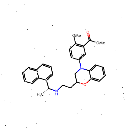 COC(=O)c1cc(N2CC(CCN[C@H](C)c3cccc4ccccc34)Oc3ccccc32)ccc1OC